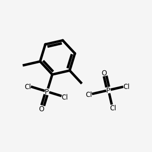 Cc1cccc(C)c1P(=O)(Cl)Cl.O=P(Cl)(Cl)Cl